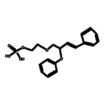 O=P(O)(O)OCCOCC(C=Cc1ccccc1)Oc1ccccc1